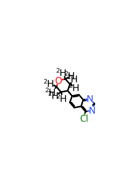 [2H]C1([2H])OC([2H])([2H])C([2H])([2H])C(c2ccc3c(Cl)ncnc3c2)C1([2H])[2H]